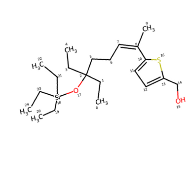 CCC(CC)(CC/C=C(/C)c1ccc(CO)s1)O[Si](CC)(CC)CC